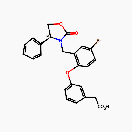 O=C(O)Cc1cccc(Oc2ccc(Br)cc2CN2C(=O)OC[C@@H]2c2ccccc2)c1